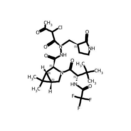 CC(=O)C(Cl)C(=O)N(C[C@@H]1CCNC1=O)NC(=O)[C@@H]1[C@@H]2[C@H](CN1C(=O)[C@@H](NC(=O)C(F)(F)F)C(C)(C)C)C2(C)C